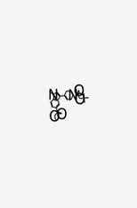 COC(=O)c1ccc2c(c1)c(C1=CCN(C(=O)OC(C)(C)C)CC1)cn2C